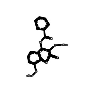 CCCCCCCCCCOc1c(OC(=O)c2ccccc2)c2cccc(OCCCCCCCCCC)c2oc1=O